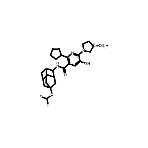 O=C(NC1C2CC3CC1CC(OC(F)F)(C3)C2)c1cc(S)c(N2CC[C@@H](C(=O)O)C2)nc1C1CCCC1